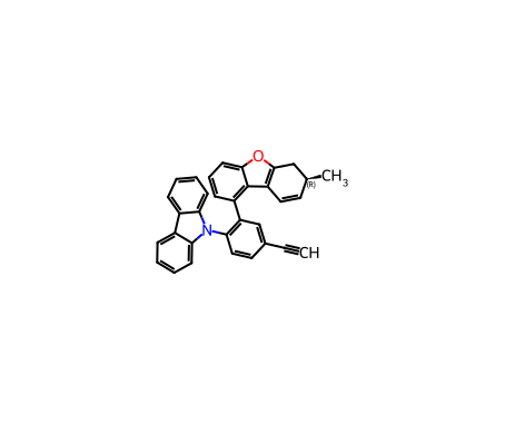 C#Cc1ccc(-n2c3ccccc3c3ccccc32)c(-c2cccc3oc4c(c23)C=C[C@H](C)C4)c1